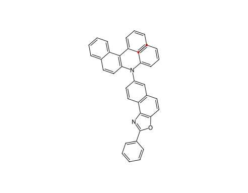 c1ccc(-c2nc3c(ccc4cc(N(c5ccccc5)c5ccc6ccccc6c5-c5ccccc5)ccc43)o2)cc1